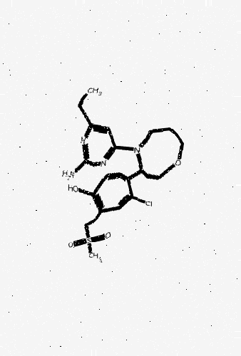 CCc1cc(N2CCCOCC2c2cc(O)c(CS(C)(=O)=O)cc2Cl)nc(N)n1